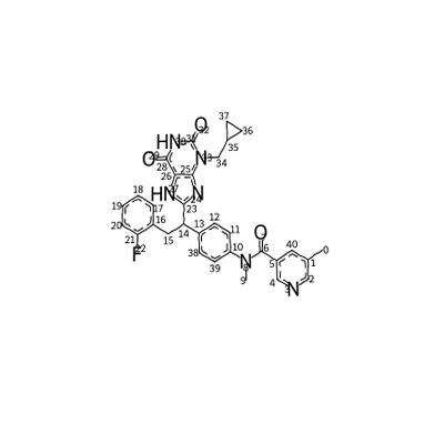 Cc1cncc(C(=O)N(C)c2ccc(C(Cc3ccccc3F)c3nc4c([nH]3)c(=O)[nH]c(=O)n4CC3CC3)cc2)c1